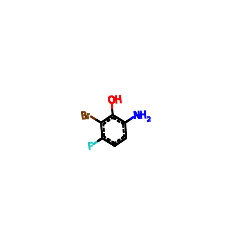 Nc1ccc(F)c(Br)c1O